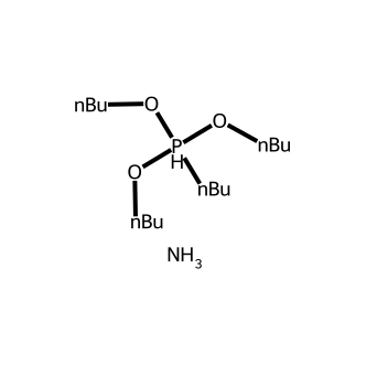 CCCCO[PH](CCCC)(OCCCC)OCCCC.N